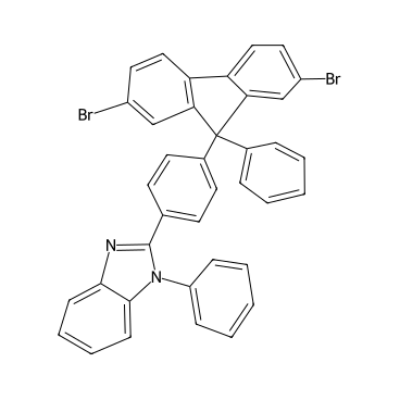 Brc1ccc2c(c1)C(c1ccccc1)(c1ccc(-c3nc4ccccc4n3-c3ccccc3)cc1)c1cc(Br)ccc1-2